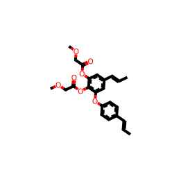 CC=Cc1ccc(Oc2cc(C=CC)cc(OC(=O)COC)c2OC(=O)COC)cc1